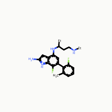 CCNCCC(CC)Nc1cc(-c2c(C)cccc2F)c(F)c2[nH]c(N)cc12